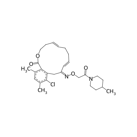 Cc1cc(C)c2c(c1Cl)CC(=N/OCC(=O)N1CCC(C)CC1)/C=C/CC/C=C/CCOC2=O